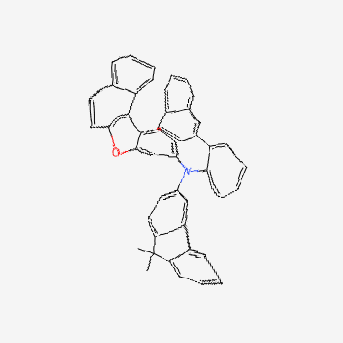 CC1(C)c2ccccc2-c2cc(N(c3ccc4c(c3)oc3ccc5ccccc5c34)c3ccccc3-c3ccc4ccccc4c3)ccc21